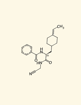 CC=C1CCC(C[C@H](NC(=O)c2ccccc2)C(=O)NCC#N)CC1